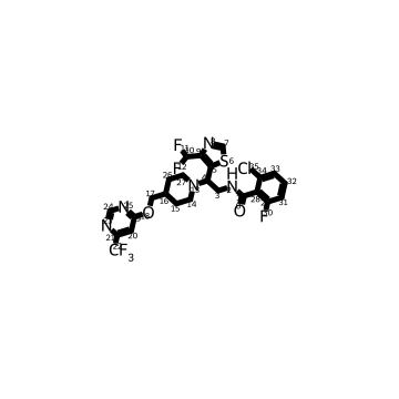 O=C(NCC(c1scnc1C(F)F)N1CCC(COc2cc(C(F)(F)F)ncn2)CC1)c1c(F)cccc1Cl